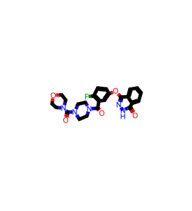 O=C(c1cc(Oc2n[nH]c(=O)c3ccccc23)ccc1F)N1CCN(C(=O)N2CCOCC2)CC1